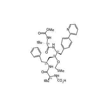 COC(=O)N[C@H](C(=O)N[C@@H](Cc1ccc(-c2ccccn2)cc1)[C@H](C[C@H](Cc1ccccc1)NC(=O)[C@@H](NC(=O)O)C(C)(C)C)OCSC)C(C)(C)C